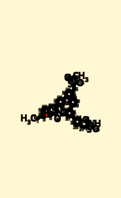 CCCCCCCC(=O)[N+](C)(Cc1cc(-c2ccccc2)cc(-c2ccc(CC3SC(=O)NC3=O)cc2)c1)Cc1cc(-c2ccc(C=C3SC(=O)N(C)C3=O)cc2)ccc1OCc1ccccc1